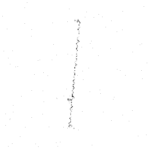 CCCCCCCCCCCCCCCCCCCCCCCCCCCCCCCCCOC(=O)CCCCCCCCCCC